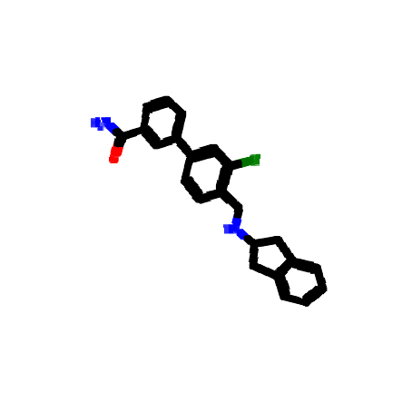 NC(=O)c1cccc(-c2ccc(CNC3Cc4ccccc4C3)c(Cl)c2)c1